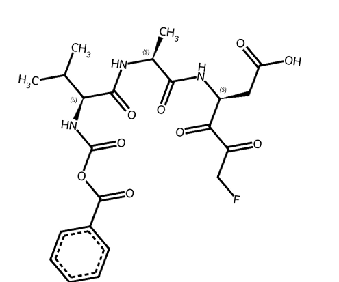 CC(C)[C@H](NC(=O)OC(=O)c1ccccc1)C(=O)N[C@@H](C)C(=O)N[C@@H](CC(=O)O)C(=O)C(=O)CF